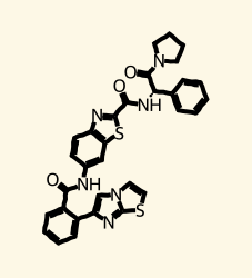 O=C(N[C@H](C(=O)N1CCCC1)c1ccccc1)c1nc2ccc(NC(=O)c3ccccc3-c3cn4ccsc4n3)cc2s1